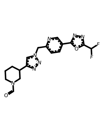 O=CN1CCCC(c2cn(Cc3ccc(-c4nnc(C(F)F)o4)cn3)nn2)C1